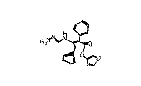 NN=CNC(=C(C(=O)Oc1cocn1)c1ccccc1)c1ccccc1